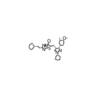 COc1ccc(-c2nn(-c3ccccc3)cc2/C=c2\sc3nc(/C=C/c4ccccc4)nn3c2=O)cc1C